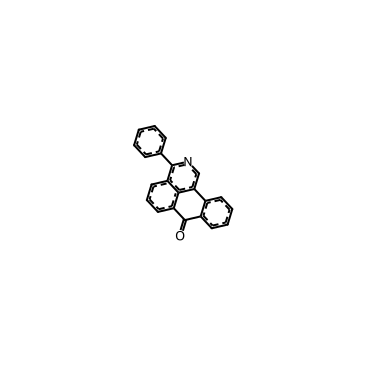 O=C1c2ccccc2-c2cnc(-c3ccccc3)c3cccc1c23